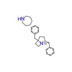 C1CCCNCC1.c1ccc(C[C@@H]2CCC3(Cc4ccccc4)CCN23)cc1